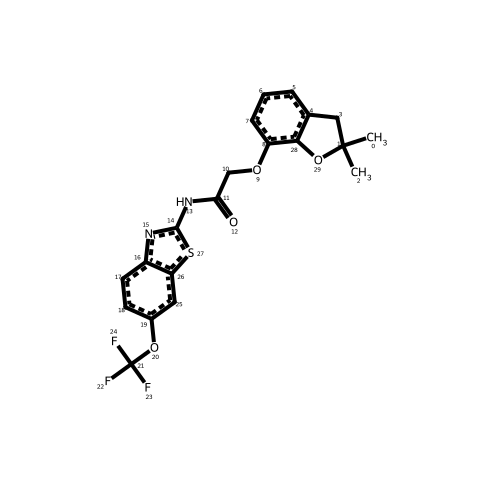 CC1(C)Cc2cccc(OCC(=O)Nc3nc4ccc(OC(F)(F)F)cc4s3)c2O1